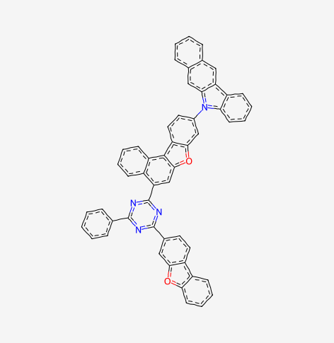 c1ccc(-c2nc(-c3ccc4c(c3)oc3ccccc34)nc(-c3cc4oc5cc(-n6c7ccccc7c7cc8ccccc8cc76)ccc5c4c4ccccc34)n2)cc1